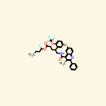 CCCC(F)OC(=O)CCC(CNC(=O)c1c(C)c(-c2ccccc2)nc2ccc(Br)cc12)c1ccccc1OC(F)(F)F